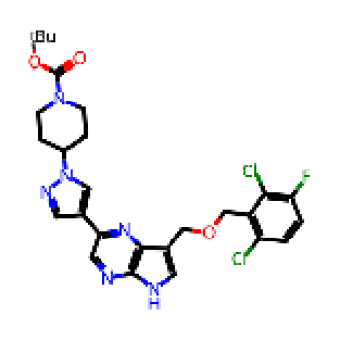 CC(C)(C)OC(=O)N1CCC(n2cc(-c3cnc4[nH]cc(COCc5c(Cl)ccc(F)c5Cl)c4n3)cn2)CC1